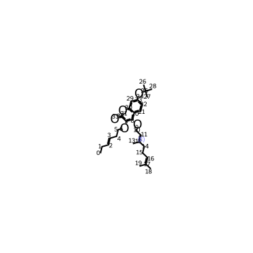 CCC=CCCOc1c(OC/C=C(\C)CCC=C(C)C)c2ccc(OC(C)(C)C)cc2oc1=O